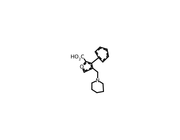 O=C(O)c1occ(CN2CCCCC2)c1-c1ccccc1